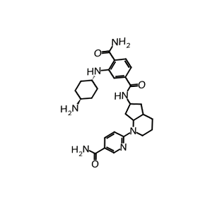 NC(=O)c1ccc(N2CCCC3CC(NC(=O)c4ccc(C(N)=O)c(N[C@H]5CC[C@H](N)CC5)c4)CC32)nc1